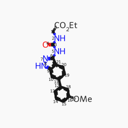 CCOC(=O)CNC(=O)Nc1n[nH]c2cc(-c3cccc(OC)c3)ccc12